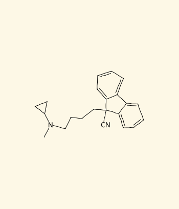 CN(CCCCC1(C#N)c2ccccc2-c2ccccc21)C1CC1